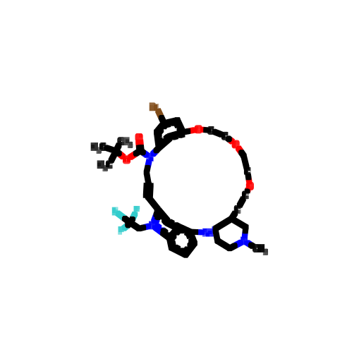 CN1CCC2Nc3cccc4c3cc(n4CC(F)(F)F)C#CCN(C(=O)OC(C)(C)C)c3cc(Br)cc(c3)OCCOCCOCCC2C1